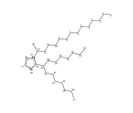 CCCCCCCCCCCCCC(C)n1ccnc1C(CCCCCCC)CCCCCCC